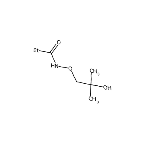 CCC(=O)NOCC(C)(C)O